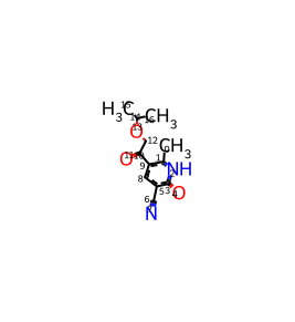 Cc1[nH]c(=O)c(C#N)cc1C(=O)COC(C)C